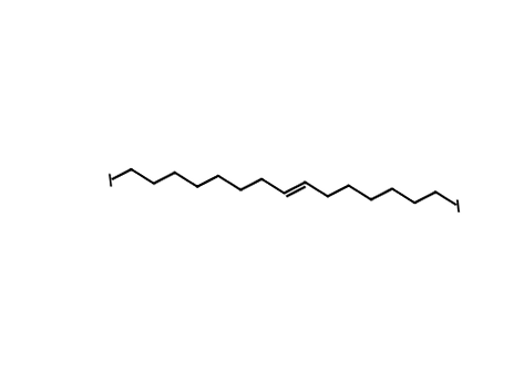 ICCCCCCC=CCCCCCCCI